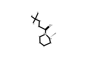 C[C@@H]1CCCCN1C(=O)CCC(C)(C)C